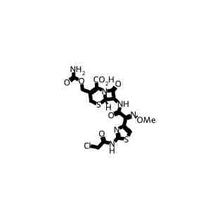 CON=C(C(=O)NC1C(=O)N2C(C(=O)O)=C(COC(N)=O)CS[C@@H]12)c1csc(NC(=O)CCl)n1